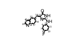 O=C1NC(Nc2ccc(F)cc2)=N/C1=C\c1ccc2ncsc2c1